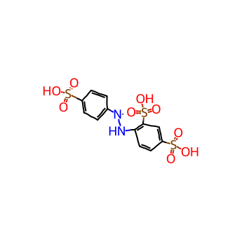 O=S(=O)(O)c1ccc([N]Nc2ccc(S(=O)(=O)O)cc2S(=O)(=O)O)cc1